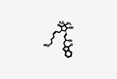 CC1(C)C(=O)[C@H](C/C=C\CCCC(=O)O)[C@@H](/C=C/C(O)Cc2sc3ccccc3c2Cl)[C@@H]1O